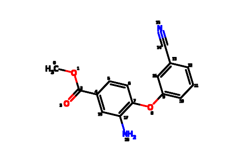 COC(=O)c1ccc(Oc2cccc(C#N)c2)c(N)c1